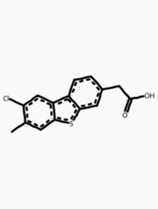 Cc1cc2sc3cc(CC(=O)O)ccc3c2cc1Cl